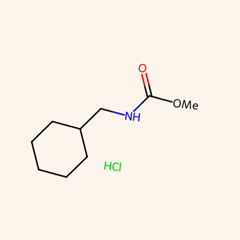 COC(=O)NCC1CCCCC1.Cl